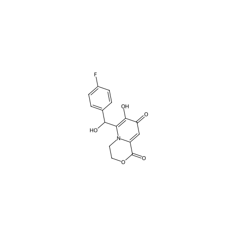 O=C1OCCn2c1cc(=O)c(O)c2C(O)c1ccc(F)cc1